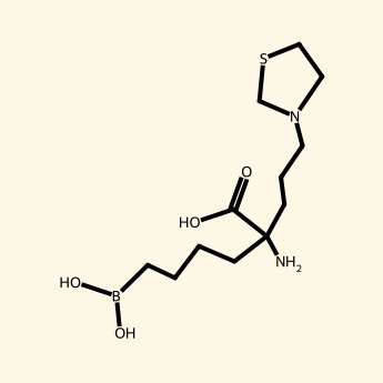 NC(CCCCB(O)O)(CCCN1CCSC1)C(=O)O